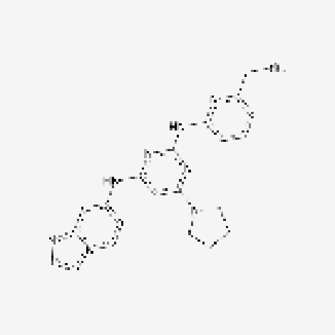 CC(C)(C)Cc1cccc(Nc2nc(Nc3ccn4ccnc4c3)cc(N3CCCC3)n2)n1